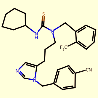 N#Cc1ccc(Cn2cncc2CCCN(Cc2ccccc2C(F)(F)F)C(=S)NC2CCCCC2)cc1